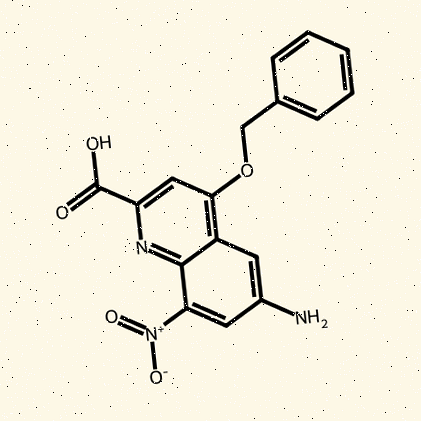 Nc1cc([N+](=O)[O-])c2nc(C(=O)O)cc(OCc3ccccc3)c2c1